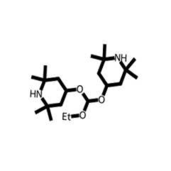 CCOC(OC1CC(C)(C)NC(C)(C)C1)OC1CC(C)(C)NC(C)(C)C1